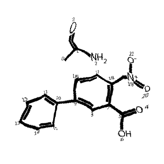 CC(N)=O.O=C(O)c1cc(-c2ccccc2)ccc1[N+](=O)[O-]